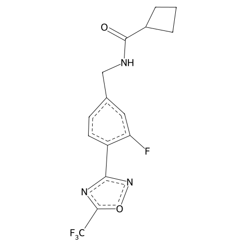 O=C(NCc1ccc(-c2noc(C(F)(F)F)n2)c(F)c1)C1CCC1